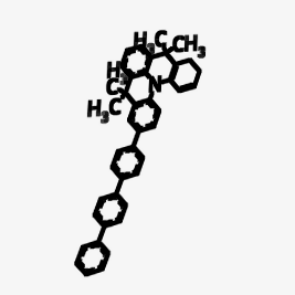 CC1(C)C2=C(C=CCC2)N2c3ccc(-c4ccc(-c5ccc(-c6ccccc6)cc5)cc4)cc3C(C)(C)c3cccc1c32